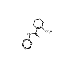 O=C(O)C1=C(C(=O)Nc2ccccc2)CCCC1